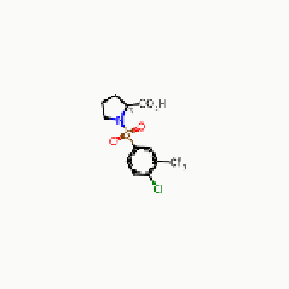 O=C(O)[C@@H]1CCCN1S(=O)(=O)c1ccc(Cl)c(C(F)(F)F)c1